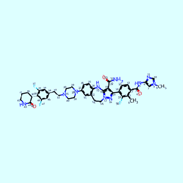 Cc1c(C(=O)Nc2cn(C)cn2)ccc(-c2nn3c(c2C(N)=O)Nc2ccc(N4CCN(CCc5cc(F)c([C@H]6CCCNC6=O)c(F)c5)CC4)cc2CC3)c1F